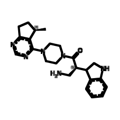 C[C@@H]1CCc2ncnc(N3CCN(C(=O)[C@H](CN)C4CNc5ccccc54)CC3)c21